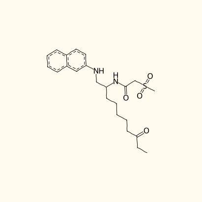 CCC(=O)CCCCCC(CNc1ccc2ccccc2c1)NC(=O)CS(C)(=O)=O